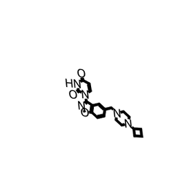 O=c1ccn(-c2noc3ccc(CN4CCN(C5CCC5)CC4)cc23)c(=O)[nH]1